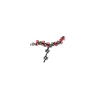 C#Cc1ccc(C#Cc2ccc(C#CC3(OC(=O)c4ccc(OC(=O)C5CCC(C(=O)OCCCC)CC5)cc4)CCC(c4ccc(OC(=O)C5CCC(C(=O)OCOC(=O)C=C)CC5)cc4)CC3)cc2)cc1